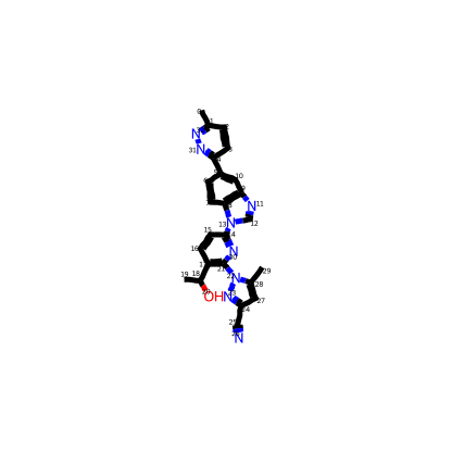 Cc1ccc(-c2ccc3c(c2)ncn3-c2ccc(C(C)O)c(-n3nc(C#N)cc3C)n2)nn1